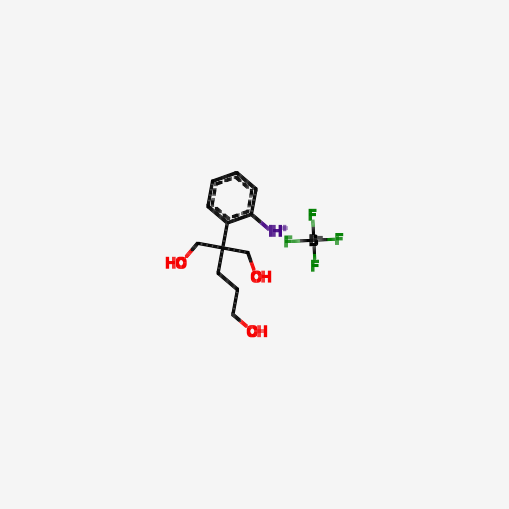 F[B-](F)(F)F.OCCCC(CO)(CO)c1ccccc1[IH+]